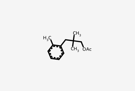 CC(=O)OCC(C)(C)Cc1ccccc1C